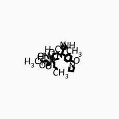 CCCCN1C(=O)[C@@H]([C@H](O)C(C)C)NC(=O)C12CCN(C(c1ccc(C(=O)N3CCCC3)cc1)c1c(C)n[nH]c1C)CC2